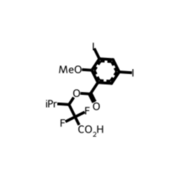 COc1c(I)cc(I)cc1C(=O)OC(C(C)C)C(F)(F)C(=O)O